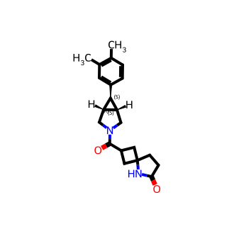 Cc1ccc([C@H]2[C@@H]3CN(C(=O)C4CC5(CCC(=O)N5)C4)C[C@@H]32)cc1C